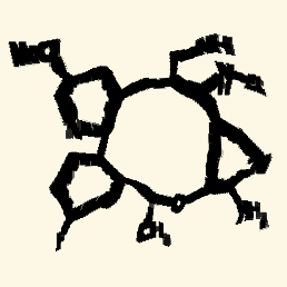 CCN/C1=C(\C=N)Cc2cc(OC)cnc2-c2ccc(F)cc2[C@@H](C)Oc2cc1cnc2N